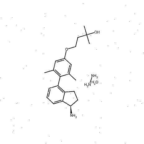 Cc1cc(OCCC(C)(C)O)cc(C)c1-c1cccc2c1CC[C@H]2N.NN.O